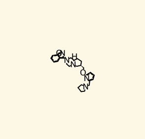 c1cc(CN2CCCC2)nc(OC[C@@H]2CC[C@H]3CN(c4noc5ccccc45)CCN3C2)c1